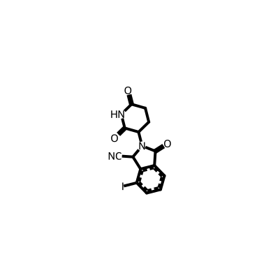 N#CC1c2c(I)cccc2C(=O)N1C1CCC(=O)NC1=O